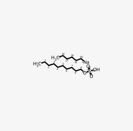 CCCCCCCCCCOS(=O)(=O)O.CCCCC[CH2][Na]